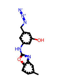 Cc1ccc2oc(Nc3cc(O)cc(CN=[N+]=[N-])c3)nc2c1